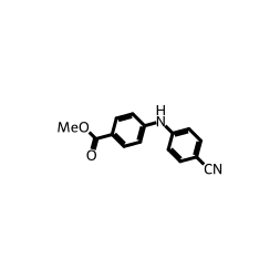 COC(=O)c1ccc(Nc2ccc(C#N)cc2)cc1